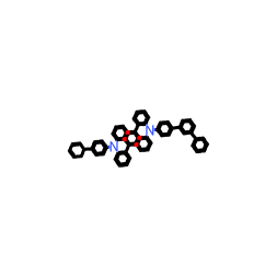 C1=CCC(c2ccc(N(c3ccccc3)c3ccccc3-c3ccc(-c4ccccc4N(c4ccccc4)c4ccc(-c5cccc(-c6ccccc6)c5)cc4)cc3)cc2)C=C1